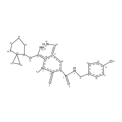 Cn1c(=O)c(C(=O)NCc2ccc(Cl)cc2)cc(=C/N)/c1=C(\N)OC1CCCSC12CC2